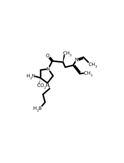 BCCC[C@H]1CN(C(=O)[C@@H](C)CC(=C/C)/N=C\C)C[C@@]1(N)C(=O)O